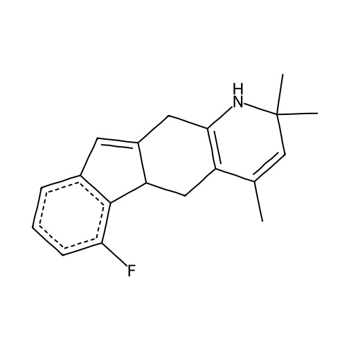 CC1=CC(C)(C)NC2=C1CC1C(=Cc3cccc(F)c31)C2